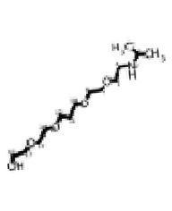 CC(C)NCCOCCOCCCOCCOCCO